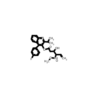 C=CC(C(O)CC(=O)Oc1c(C(C)C)nc2ccccc2c1-c1ccc(F)cc1)[PH](=O)OC